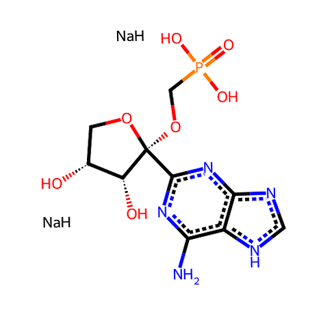 Nc1nc([C@]2(OCP(=O)(O)O)OC[C@@H](O)[C@H]2O)nc2nc[nH]c12.[NaH].[NaH]